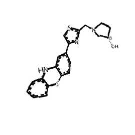 O[C@H]1CCN(Cc2nc(-c3ccc4c(c3)Nc3ccccc3S4)cs2)C1